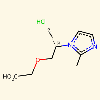 Cc1nccn1[C@@H](C)COCC(=O)O.Cl